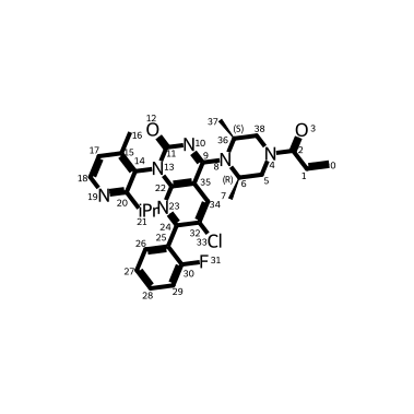 C=CC(=O)N1C[C@@H](C)N(c2nc(=O)n(-c3c(C)ccnc3C(C)C)c3nc(-c4ccccc4F)c(Cl)cc23)[C@@H](C)C1